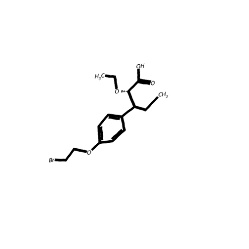 CCO[C@H](C(=O)O)C(CC)c1ccc(OCCBr)cc1